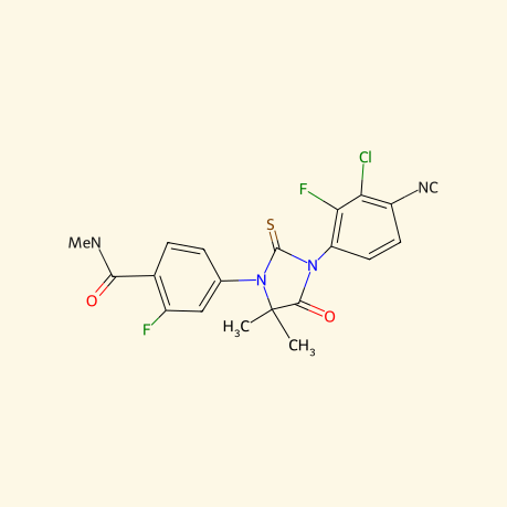 [C-]#[N+]c1ccc(N2C(=O)C(C)(C)N(c3ccc(C(=O)NC)c(F)c3)C2=S)c(F)c1Cl